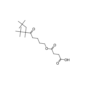 CC(C)(C)CC(C)(C(=O)CCCCOC(=O)CCC(=O)O)C(C)(C)C